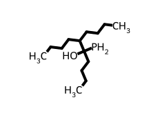 CCCCC(CCCC)C(O)(P)CCCC